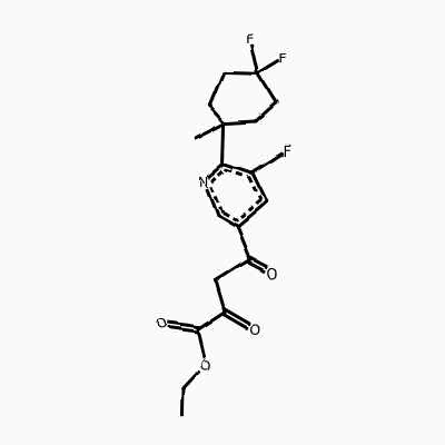 CCOC(=O)C(=O)CC(=O)c1cnc(C2(C)CCC(F)(F)CC2)c(F)c1